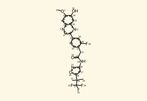 COc1cc2ncc(-c3ccc(CC(=O)Nc4cc(C(C)(C)C(F)(F)F)on4)c(F)c3)nc2cc1O